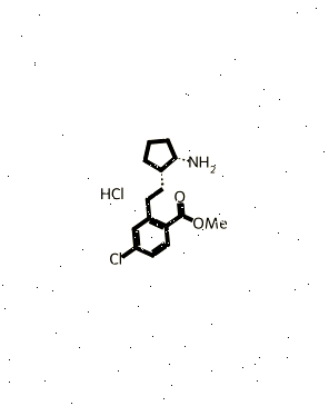 COC(=O)c1ccc(Cl)cc1CC[C@@H]1CCC[C@@H]1N.Cl